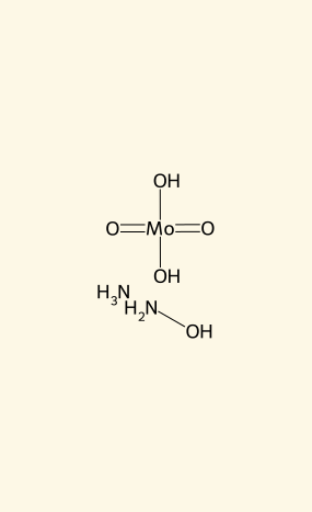 N.NO.[O]=[Mo](=[O])([OH])[OH]